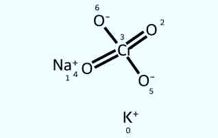 [K+].[Na+].[O]=[Cr](=[O])([O-])[O-]